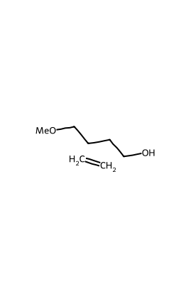 C=C.COCCCCO